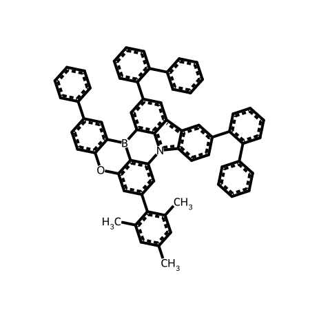 Cc1cc(C)c(-c2cc3c4c(c2)-n2c5ccc(-c6ccccc6-c6ccccc6)cc5c5cc(-c6ccccc6-c6ccccc6)cc(c52)B4c2cc(-c4ccccc4)ccc2O3)c(C)c1